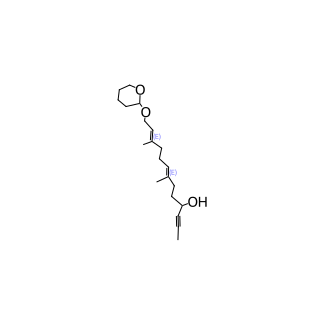 CC#CC(O)CC/C(C)=C/CC/C(C)=C/COC1CCCCO1